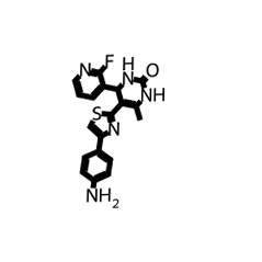 CC1=C(c2nc(-c3ccc(N)cc3)cs2)C(c2cccnc2F)NC(=O)N1